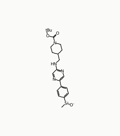 C[S+]([O-])c1ccc(-c2cnc(NCC3CCN(C(=O)OC(C)(C)C)CC3)cn2)cc1